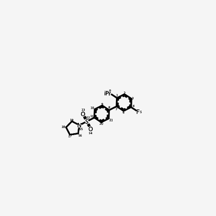 CC(C)c1ccc(F)cc1-c1ccc(S(=O)(=O)N2CCCC2)cc1